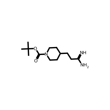 CC(C)(C)OC(=O)N1CCC(CCC(=N)N)CC1